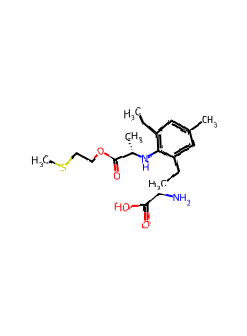 CCc1cc(C)cc(CC)c1N[C@@H](C)C(=O)OCCSC.NCC(=O)O